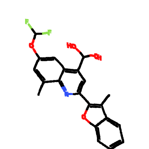 Cc1c(-c2cc(C(O)O)c3cc(OC(F)F)cc(C)c3n2)oc2ccccc12